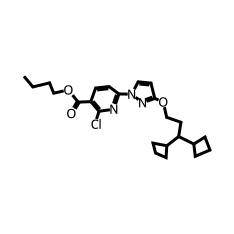 CCCCOC(=O)c1ccc(-n2ccc(OCCC(C3CCC3)C3CCC3)n2)nc1Cl